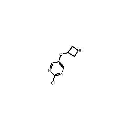 Clc1ncc(OC2CNC2)cn1